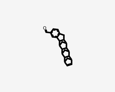 O=Cc1ccc2c(c1)C1C(C2)C2CC1C1C3CC(C4C5C=CC(C5)C34)C21